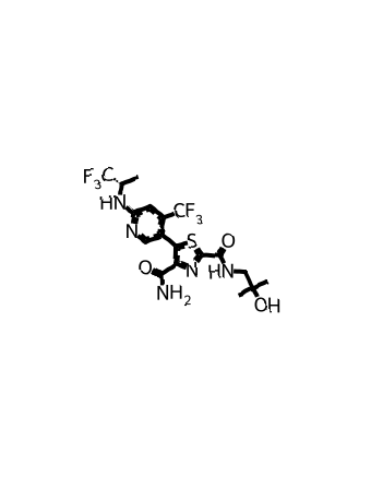 C[C@H](Nc1cc(C(F)(F)F)c(-c2sc(C(=O)NCC(C)(C)O)nc2C(N)=O)cn1)C(F)(F)F